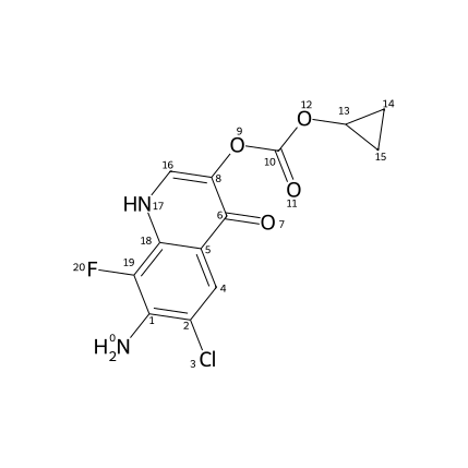 Nc1c(Cl)cc2c(=O)c(OC(=O)OC3CC3)c[nH]c2c1F